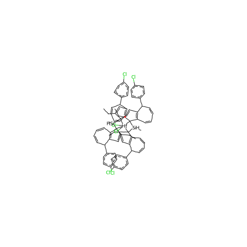 CCC1=CC2=C(C=CC=CC2c2ccc(Cl)cc2)[C]12[SiH](C)[C]1(C(CC)=CC3=C1C=CC=CC3c1ccc(Cl)cc1)[Hf]21([Cl])([Cl])[C]2(C(CC)=CC3=C2C=CC=CC3c2ccc(Cl)cc2)[SiH](C)[C]12C(CC)=CC1=C2C=CC=CC1c1ccc(Cl)cc1